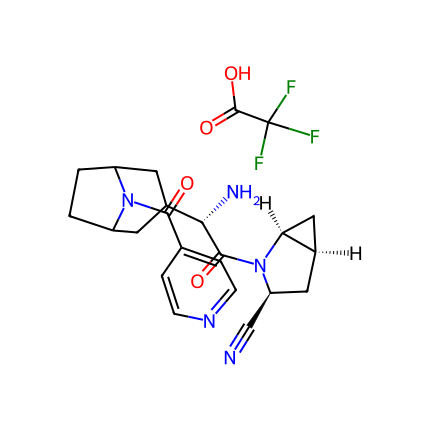 N#C[C@@H]1C[C@@H]2C[C@@H]2N1C(=O)[C@@H](N)C1CC2CCC(C1)N2C(=O)c1ccncc1.O=C(O)C(F)(F)F